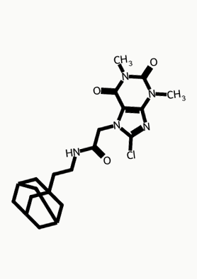 Cn1c(=O)c2c(nc(Cl)n2CC(=O)NCCC23CC4CC(CC(C4)C2)C3)n(C)c1=O